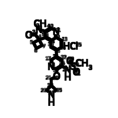 CN1C(=O)C2(CCC2)c2c1cnc1ccc(-c3cnc(OCC4CNC4)c(NS(C)(=O)=O)c3)cc21.Cl